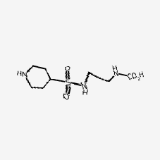 O=C(O)NCCNS(=O)(=O)C1CCNCC1